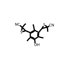 Cc1c(O)c(C)c(C2SC2(C)C#N)c(C)c1C1SC1(C)C#N